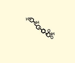 O=C1CC[C@H](c2ccc(N3CCC(CNC4CCNCC4)CC3)cc2)C(=O)N1